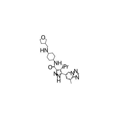 Cc1cc(-c2[nH]nc(C(=O)NC3CCC(NCC4CCOC4)CC3)c2C(C)C)cn2ncnc12